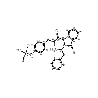 CC(Cc1ccccn1)N1C(=O)c2ccccc2C1C(=O)NCc1ccc(OC(F)(F)F)cc1